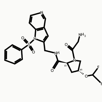 NCC(=O)N1C[C@H](OC(F)F)C[C@H]1C(=O)NCc1cc2cnccc2n1S(=O)(=O)c1ccccc1